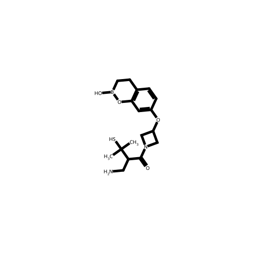 CC(C)(S)C(CN)C(=O)N1CC(Oc2ccc3c(c2)OB(O)CC3)C1